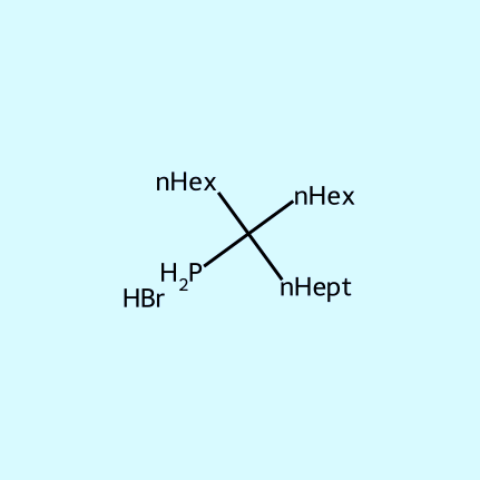 Br.CCCCCCCC(P)(CCCCCC)CCCCCC